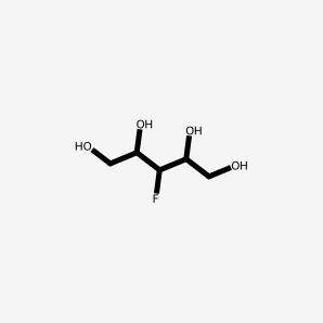 OCC(O)C(F)C(O)CO